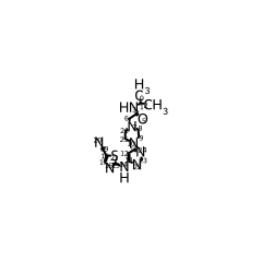 CC(C)NC(=O)CN1CCN(c2cc(Nc3ncc(C#N)s3)ncn2)CC1